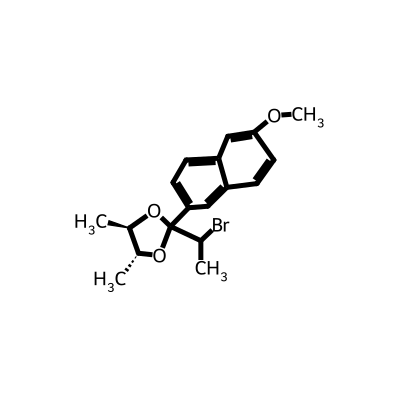 COc1ccc2cc(C3(C(C)Br)O[C@H](C)[C@@H](C)O3)ccc2c1